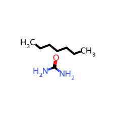 CCCCCCC.NC(N)=O